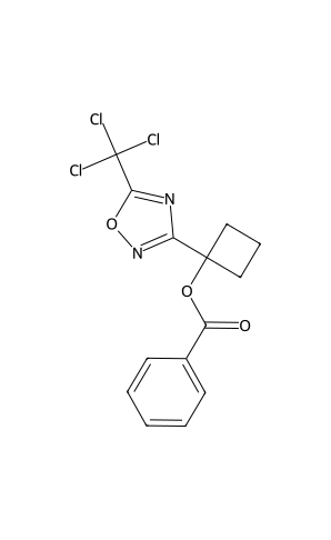 O=C(OC1(c2noc(C(Cl)(Cl)Cl)n2)CCC1)c1ccccc1